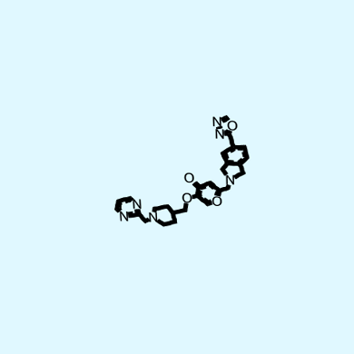 O=c1cc(CN2Cc3ccc(-c4nnco4)cc3C2)occ1OCC1CCN(Cc2ncccn2)CC1